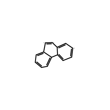 [c]1ccc2c([c][c]c3ccccc32)c1